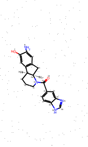 Nc1cc2c(cc1O)[C@@H]1CCCN(C(=O)c3ccc4[nH]cnc4c3)[C@@H]1C2